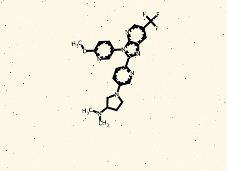 COc1ccc(-n2c(-c3ccc(N4CCC(N(C)C)C4)cn3)nc3cc(C(F)(F)F)cnc32)cn1